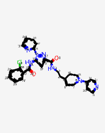 O=C(NCCC1CCN(c2ccncc2)CC1)c1cc(NC(=O)c2ccccc2Cl)n(-c2ccccn2)n1